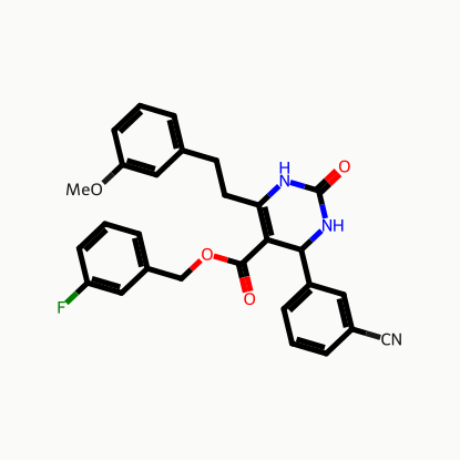 COc1cccc(CCC2=C(C(=O)OCc3cccc(F)c3)C(c3cccc(C#N)c3)NC(=O)N2)c1